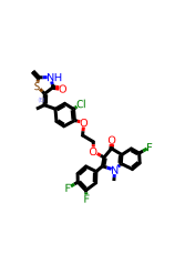 C=c1[nH]c(=O)/c(=C(/C)c2ccc(OCCOc3c(-c4ccc(F)c(F)c4)n(C)c4ccc(F)cc4c3=O)c(Cl)c2)s1